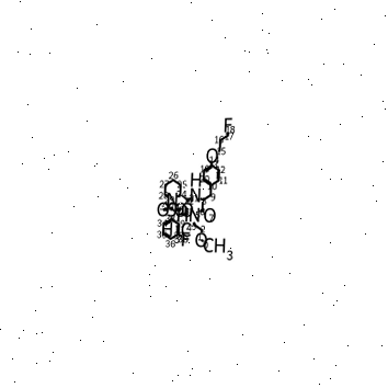 COC[C@H](C)NC(=O)C(Cc1ccc(OCCCF)cc1)NC(=O)[C@@H]1CCCCN1S(=O)(=O)c1cccc(F)c1